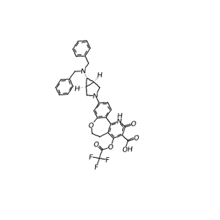 O=C(O)c1c(OC(=O)C(F)(F)F)c2c([nH]c1=O)-c1ccc(N3C[C@@H]4[C@H](C3)[C@H]4N(Cc3ccccc3)Cc3ccccc3)cc1OCC2